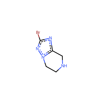 Brc1nc2n(n1)CCNC2